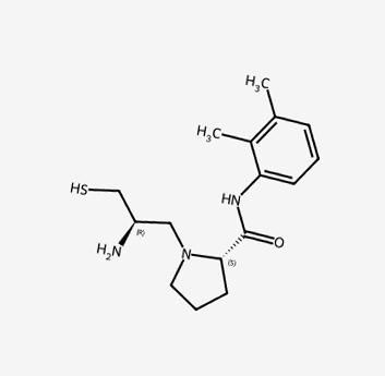 Cc1cccc(NC(=O)[C@@H]2CCCN2C[C@@H](N)CS)c1C